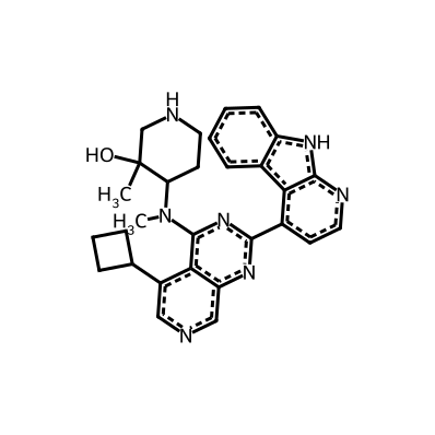 CN(c1nc(-c2ccnc3[nH]c4ccccc4c23)nc2cncc(C3CCC3)c12)C1CCNCC1(C)O